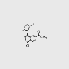 COC(=O)c1ccc2c(Cl)cnc(-c3cc(F)ccc3C)c2c1